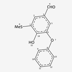 CSc1cc(C=O)cc(Oc2ccccc2)c1O